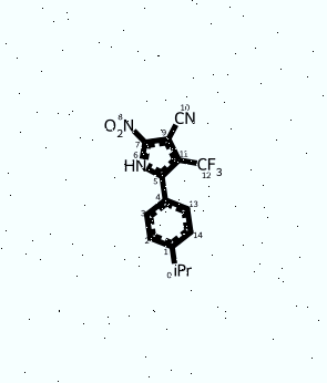 CC(C)c1ccc(-c2[nH]c([N+](=O)[O-])c(C#N)c2C(F)(F)F)cc1